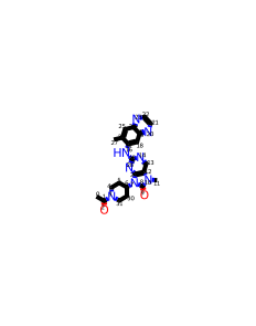 CC(=O)N1CCC(n2c(=O)n(C)c3cnc(Nc4cc5nccnc5cc4C)nc32)CC1